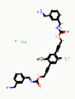 Cl.Cl.NCc1cccc(CNC(=O)OCC#Cc2cc(C(=O)O)c(C#CCOC(=O)NCc3cccc(CN)c3)cc2C(=O)O)c1